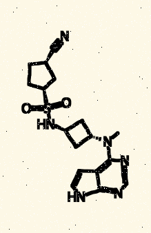 CN(c1ncnc2[nH]ccc12)[C@H]1C[C@H](NS(=O)(=O)[C@H]2CC[C@@H](C#N)C2)C1